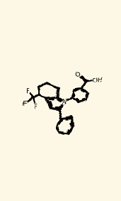 O=C(O)c1cccc(-n2c(-c3ccccc3)cc3c2CCCC3C(F)(F)F)c1